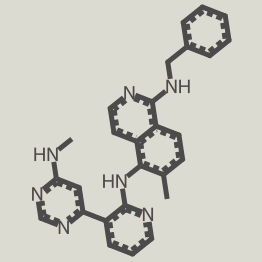 CNc1cc(-c2cccnc2Nc2c(C)ccc3c(NCc4ccccc4)nccc23)ncn1